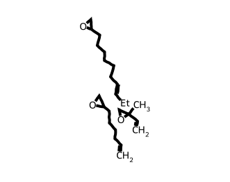 C=CC1(C)CO1.C=CCCCCC1CO1.CCC=CCCCCCCC1CO1